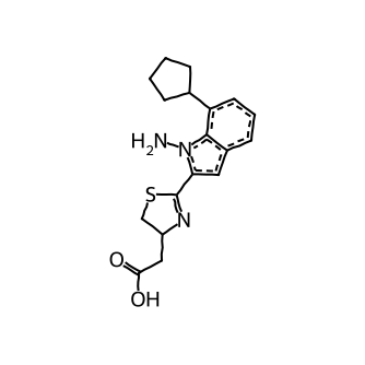 Nn1c(C2=NC(CC(=O)O)CS2)cc2cccc(C3CCCC3)c21